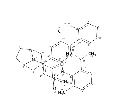 C=CC(=O)N1CC2CCC(C1)N2c1nc(=O)n(-c2c(C)ccnc2C(C)C)c2nc(-c3ccccc3F)c(Cl)cc12